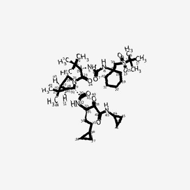 CC(C)(C)[C@H](NC(=O)NC1(CS(=O)(=O)C(C)(C)C)CCCCC1)C(=O)N1C[C@H]2[C@@H]([C@H]1C(=O)N[C@H](CCC1CC1)C(=O)C(=O)NC1CC1)C2(C)C